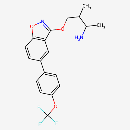 CC(N)C(C)COc1noc2ccc(-c3ccc(OC(F)(F)F)cc3)cc12